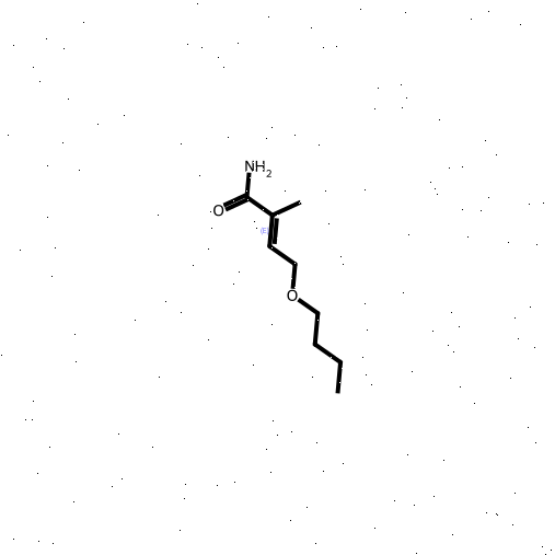 CCCCOC/C=C(\C)C(N)=O